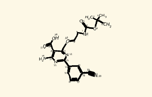 CC(C)(C)OC(=O)NCCOc1nc(-c2cccc(C#N)c2)nc(N)c1C(=O)O